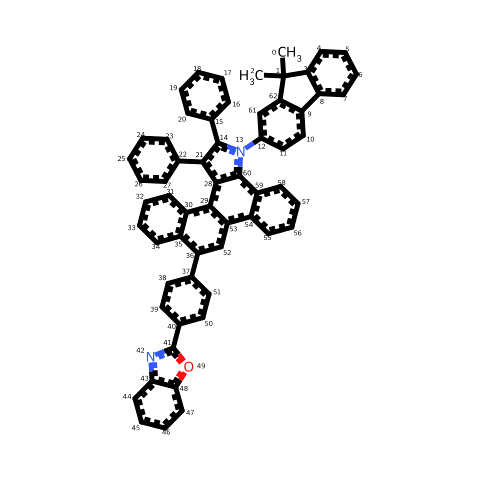 CC1(C)c2ccccc2-c2ccc(-n3c(-c4ccccc4)c(-c4ccccc4)c4c5c6ccccc6c(-c6ccc(-c7nc8ccccc8o7)cc6)cc5c5ccccc5c43)cc21